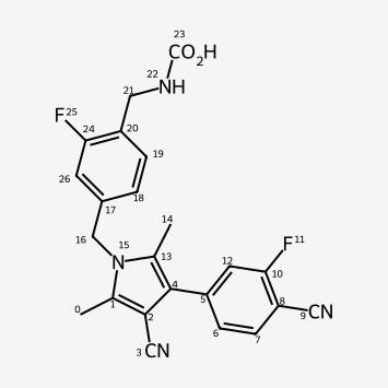 Cc1c(C#N)c(-c2ccc(C#N)c(F)c2)c(C)n1Cc1ccc(CNC(=O)O)c(F)c1